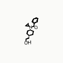 O=C(c1ccccc1)N(C1CC1)[C@H]1CC[C@H](CCO)CC1